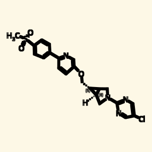 CS(=O)(=O)c1ccc(-c2ccc(OC[C@@H]3C4CN(c5ncc(Cl)cn5)C[C@H]43)cn2)cc1